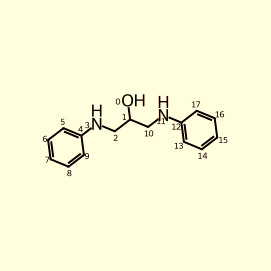 OC(CNc1ccccc1)CNc1ccccc1